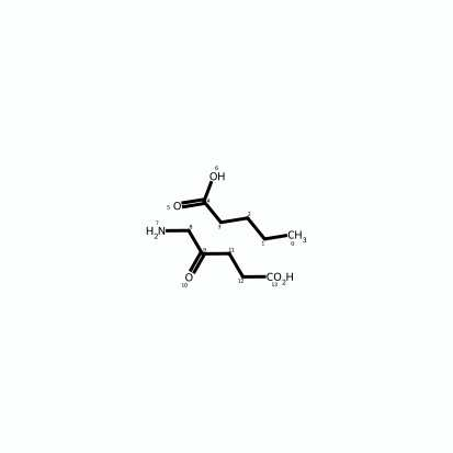 CCCCC(=O)O.NCC(=O)CCC(=O)O